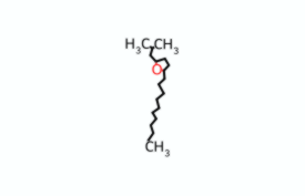 CCCCCCCCCCCC1CCC(CC(C)C)O1